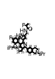 C=C(F)C(=O)NCc1cc(-c2nc(-c3ccc4c(c3)CCN(C(C)C)C4)c3ccsc3c2-c2c(F)cc(F)cc2OC(C)C)n[nH]1